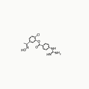 CC(=NO)c1ccc(Cl)c(OC(=O)c2ccc(NC(=N)N)cc2)c1